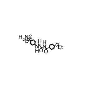 CCOc1ccc(C(=O)NC(=O)NNc2ccc(S(N)(=O)=O)cc2)cc1